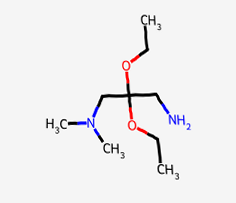 CCOC(CN)(CN(C)C)OCC